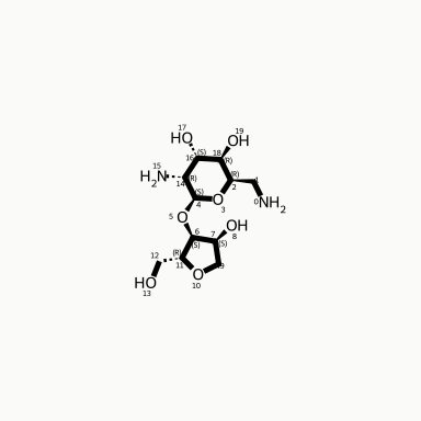 NC[C@H]1O[C@@H](O[C@H]2[C@@H](O)[CH]O[C@@H]2CO)[C@H](N)[C@H](O)[C@H]1O